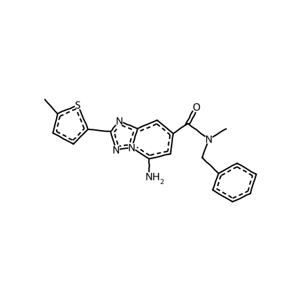 Cc1ccc(-c2nc3cc(C(=O)N(C)Cc4ccccc4)cc(N)n3n2)s1